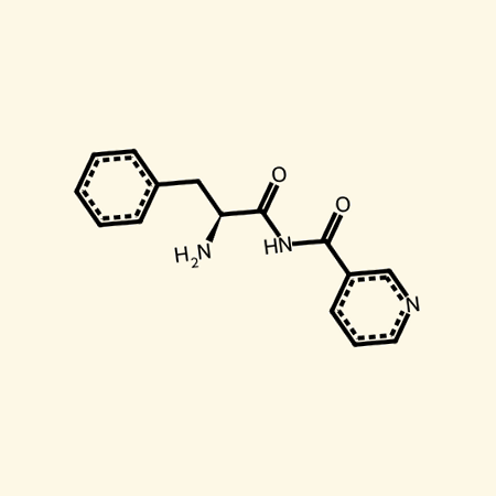 N[C@@H](Cc1ccccc1)C(=O)NC(=O)c1cccnc1